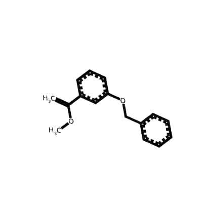 C=C(OC)c1cccc(OCc2ccccc2)c1